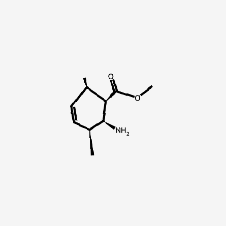 COC(=O)[C@H]1[C@@H](N)[C@@H](C)C=C[C@H]1C